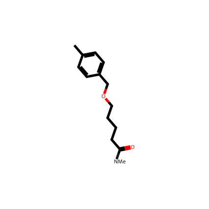 CNC(=O)CCCCOCc1ccc(C)cc1